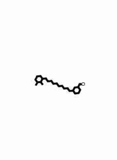 CC1CCCC(CCCCCCCCCCC2CCCC(C=O)C2)C1C